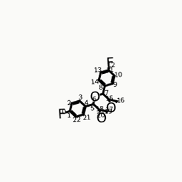 Fc1ccc(C(OC(c2ccc(F)cc2)C2CO2)C2CO2)cc1